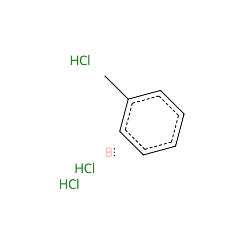 Cc1ccccc1.Cl.Cl.Cl.[B]